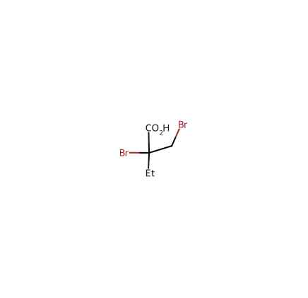 CCC(Br)(CBr)C(=O)O